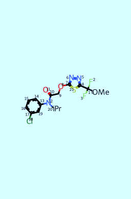 COC(F)(F)c1nnc(OCC(=O)N(c2cccc(Cl)c2)C(C)C)s1